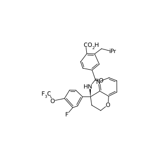 CC(C)Cc1cc(C(=O)N[C@]2(c3ccc(OC(F)(F)F)c(F)c3)CCOc3cccnc32)ccc1C(=O)O